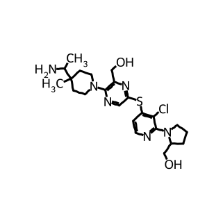 CC(N)C1(C)CCN(c2ncc(Sc3ccnc(N4CCCC4CO)c3Cl)nc2CO)CC1